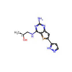 C[C@H](O)CNc1nc(N)nc2cc(-c3ccn[nH]3)sc12